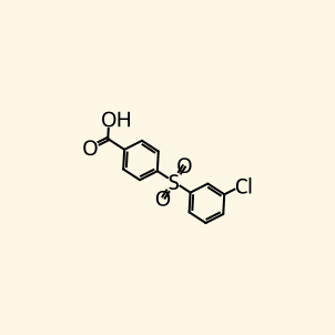 O=C(O)c1ccc(S(=O)(=O)c2cccc(Cl)c2)cc1